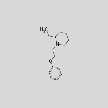 CCC1CCCCN1CCOc1ccccc1